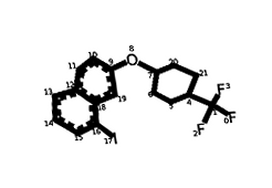 FC(F)(F)C1CCC(Oc2ccc3cccc(I)c3c2)CC1